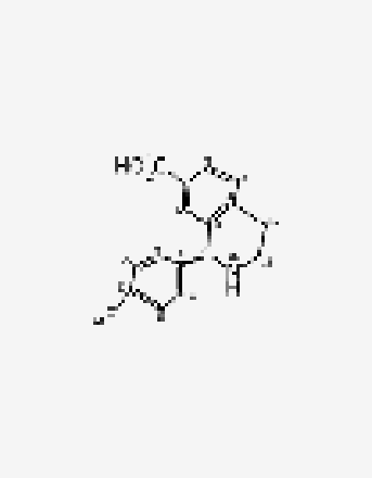 O=C(O)c1ccc2c(c1)[C@H](c1ccc(F)cc1)NCC2